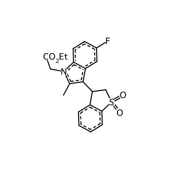 CCOC(=O)Cn1c(C)c(C2CS(=O)(=O)c3ccccc32)c2cc(F)ccc21